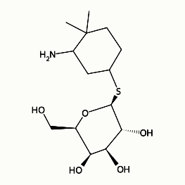 CC1(C)CCC(S[C@@H]2O[C@H](CO)[C@H](O)[C@H](O)[C@H]2O)CC1N